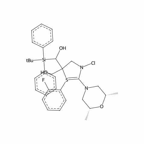 C[C@@H]1CN(C2=S(c3ccccc3F)C(CO)(C(O)[Si](c3ccccc3)(c3ccccc3)C(C)(C)C)CN2Cl)C[C@H](C)O1